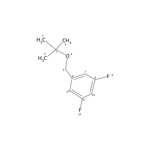 CC(C)(C)OCc1cc(F)cc(F)c1